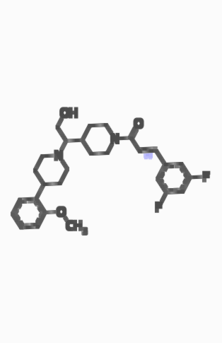 COc1ccccc1C1CCN(C(CO)C2CCN(C(=O)/C=C/c3cc(F)cc(F)c3)CC2)CC1